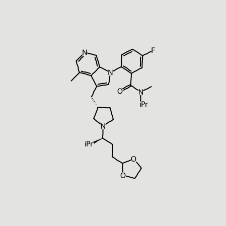 Cc1cncc2c1c(C[C@@H]1CCN([C@@H](CCC3OCCO3)C(C)C)C1)cn2-c1ccc(F)cc1C(=O)N(C)C(C)C